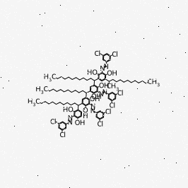 CCCCCCCCCCCC(C)c1cc(C(CCCCCCCCCCC)c2cc(C(CCCCCCCCCCC)c3cc(C(CCCCCCCCCCC)c4ccc(O)c(N=Nc5cc(Cl)cc(Cl)c5)c4O)c(O)c(N=Nc4cc(Cl)cc(Cl)c4)c3O)c(O)c(N=Nc3cc(Cl)cc(Cl)c3)c2O)c(O)c(N=Nc2cc(Cl)cc(Cl)c2)c1O